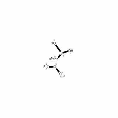 CCCCCB(O)O.FC(F)(F)OC(F)(F)F